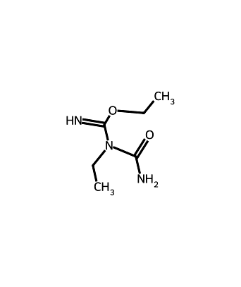 CCOC(=N)N(CC)C(N)=O